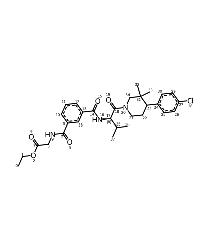 CCOC(=O)CNC(=O)c1cccc(C(=O)N[C@@H](C(=O)N2CCC(c3ccc(Cl)cc3)C(C)(C)C2)C(C)C)c1